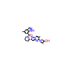 Cc1cc(C(=O)N2CCCC[C@H]2c2cc3nc(N4C[C@@H](C)[C@@H](O)C4)c(C)cn3n2)c2[nH]ncc2c1